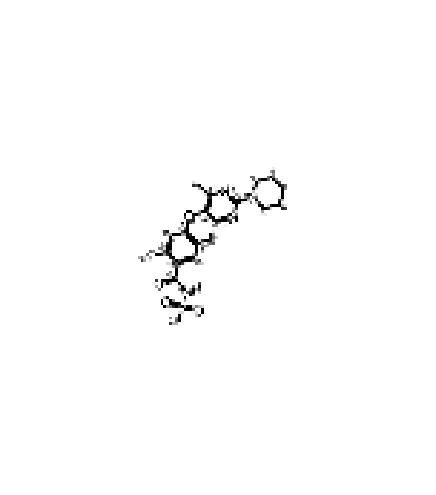 Cc1nc(N2CCCCC2)ncc1Oc1cc(F)c(C(=O)NS(C)(=O)=O)cc1F